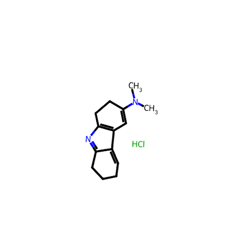 CN(C)C1=CC2=C(CC1)N=C1CCCC=C12.Cl